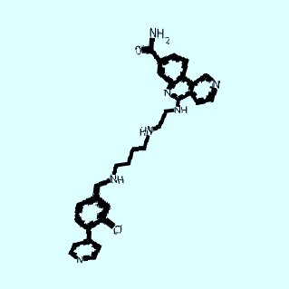 NC(=O)c1ccc2c(c1)nc(NCCNCCCCNCc1ccc(-c3ccncc3)c(Cl)c1)c1ccncc12